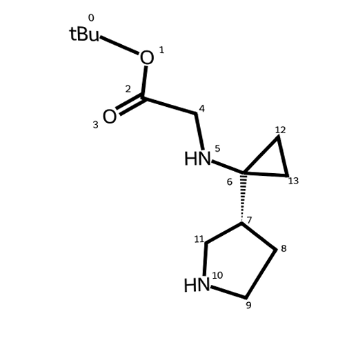 CC(C)(C)OC(=O)CNC1([C@@H]2CCNC2)CC1